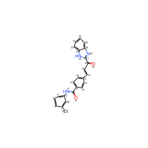 CCc1cccc(NC(=O)c2ccc(C=CC(=O)c3nc4ccccc4[nH]3)cc2)c1